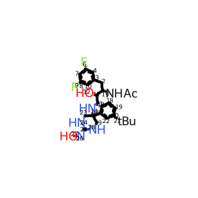 CC(=O)NC(Cc1cc(F)cc(F)c1)C(O)CNC1(c2cccc(C(C)(C)C)c2)CNC(=NO)NC1